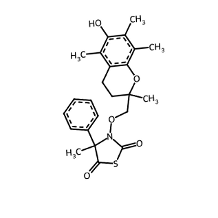 Cc1c(C)c2c(c(C)c1O)CCC(C)(CON1C(=O)SC(=O)C1(C)c1ccccc1)O2